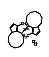 CC1=C2C(C=C1)CCCCCCC[CH]2[Zr+2][CH]1CCCCCCCC2C=CC(C)=C21.[Cl-].[Cl-]